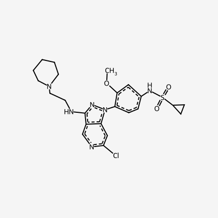 COc1cc(NS(=O)(=O)C2CC2)ccc1-n1nc(NCCN2CCCCC2)c2cnc(Cl)cc21